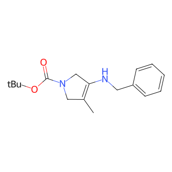 CC1=C(NCc2ccccc2)CN(C(=O)OC(C)(C)C)C1